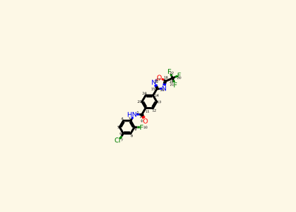 O=C(Nc1ccc(Cl)cc1F)c1ccc(-c2noc(C(F)(F)F)n2)cc1